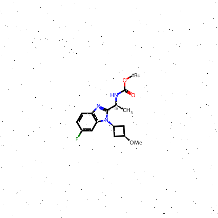 CO[C@H]1C[C@@H](n2c([C@H](C)NC(=O)OC(C)(C)C)nc3ccc(F)cc32)C1